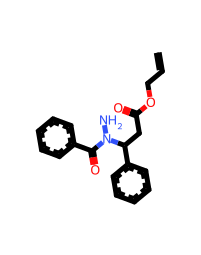 C=CCOC(=O)CC(c1ccccc1)N(N)C(=O)c1ccccc1